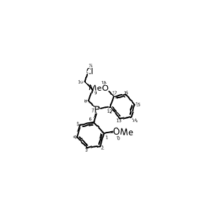 COc1ccccc1P(CCCCl)c1ccccc1OC